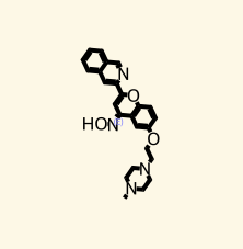 CN1CCN(CCOc2ccc3oc(-c4cc5ccccc5cn4)c/c(=N\O)c3c2)CC1